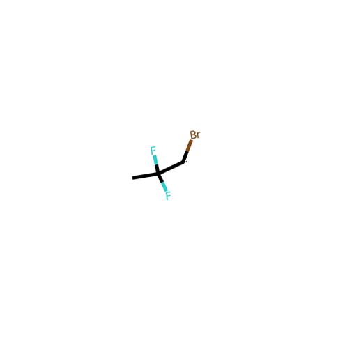 CC(F)(F)[CH]Br